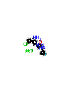 Cl.Cl.NC[C@]1(c2cccc(Cl)c2)CC[C@H](N2CCn3c(nnc3-c3cccc(F)c3)C2=O)CC1